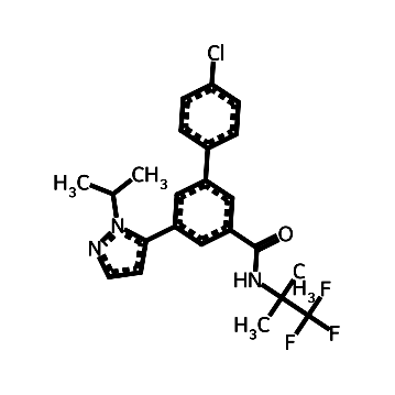 CC(C)n1nccc1-c1cc(C(=O)NC(C)(C)C(F)(F)F)cc(-c2ccc(Cl)cc2)c1